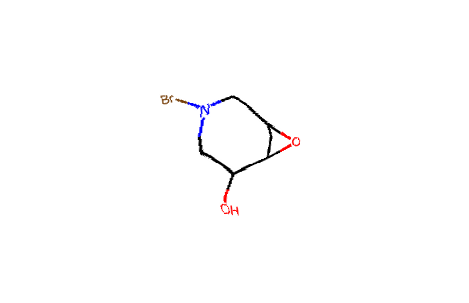 OC1CN(Br)CC2OC12